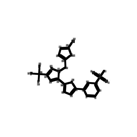 CS(=O)(=O)c1cccc(-c2ccc(-c3cc(C(F)(F)F)nn3Cc3ccc(Cl)s3)s2)c1